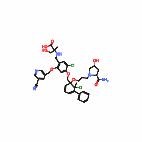 CC(CO)(NCc1cc(Cl)c(OCC2(OCCCN3C[C@H](O)C[C@H]3C(N)=O)C=CC=C(c3ccccc3)C2(C)Cl)cc1OCc1cncc(C#N)c1)C(=O)O